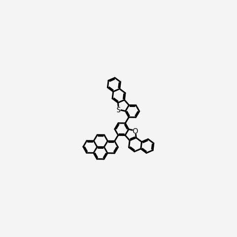 c1ccc2cc3c(cc2c1)sc1c(-c2ccc(-c4ccc5ccc6cccc7ccc4c5c67)c4c2oc2c5ccccc5ccc24)cccc13